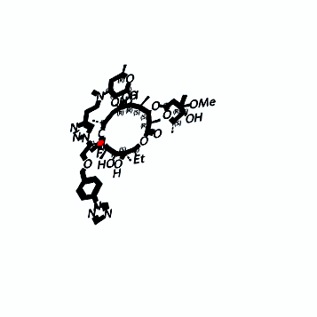 CC[C@H]1OC(=O)[C@H](C)[C@@H](O[C@H]2C[C@@](C)(OC)[C@@H](O)[C@H](C)O2)[C@H](C)[C@@H](O[C@@H]2O[C@H](C)C[C@H](N(C)CCc3cn([C@H](CF)COCc4ccc(-n5cncn5)cc4)nn3)[C@H]2O)[C@](C)(O)C[C@@H](C)CN(C)[C@H](C)[C@@H](O)[C@]1(C)O